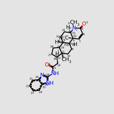 CN1C(=O)C=C[C@]2(C)[C@H]3CC[C@]4(C)[C@@H](CC(=O)Nc5nc6ccccc6[nH]5)CC[C@H]4[C@@H]3CC[C@@H]12